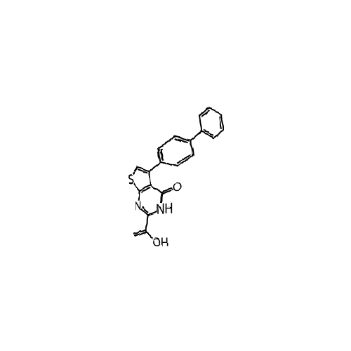 C=C(O)c1nc2scc(-c3ccc(-c4ccccc4)cc3)c2c(=O)[nH]1